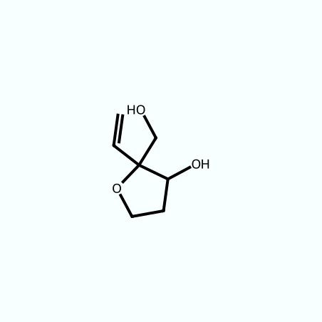 C=CC1(CO)OCCC1O